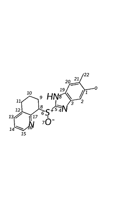 Cc1cc2nc([S+]([O-])C3CCCc4cccnc43)[nH]c2cc1C